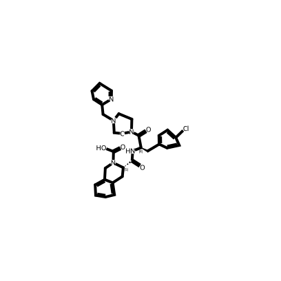 O=C(N[C@H](Cc1ccc(Cl)cc1)C(=O)N1CCN(Cc2ccccn2)CC1)[C@@H]1Cc2ccccc2CN1C(=O)O